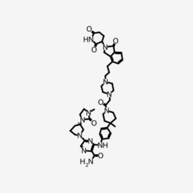 CN1CCN([C@@H]2CCCN(c3cnc(C(N)=O)c(Nc4ccc(C5(C)CCN(C(=O)CN6CCN(CCCc7cccc8c7CN(C7CCC(=O)NC7=O)C8=O)CC6)CC5)cc4)n3)C2)C1=O